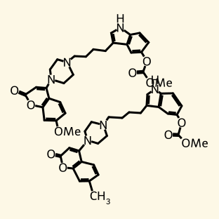 COC(=O)Oc1ccc2[nH]cc(CCCCN3CCN(c4cc(=O)oc5cc(C)ccc45)CC3)c2c1.COC(=O)Oc1ccc2[nH]cc(CCCCN3CCN(c4cc(=O)oc5cc(OC)ccc45)CC3)c2c1